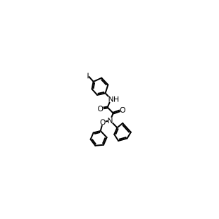 O=C(Nc1ccc(I)cc1)C(=O)N(Oc1ccccc1)c1ccccc1